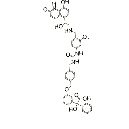 COc1cc(NC(=O)NCc2ccc(COc3cccc(C(O)(C(=O)O)c4ccccc4)c3)cc2)ccc1CNCC(O)c1ccc(O)c2[nH]c(=O)ccc12